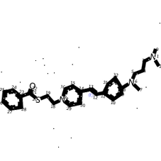 CN(C)CCCN(C)c1ccc(/C=C/c2cc[n+](CCSC(=O)c3ccccc3)cc2)cc1